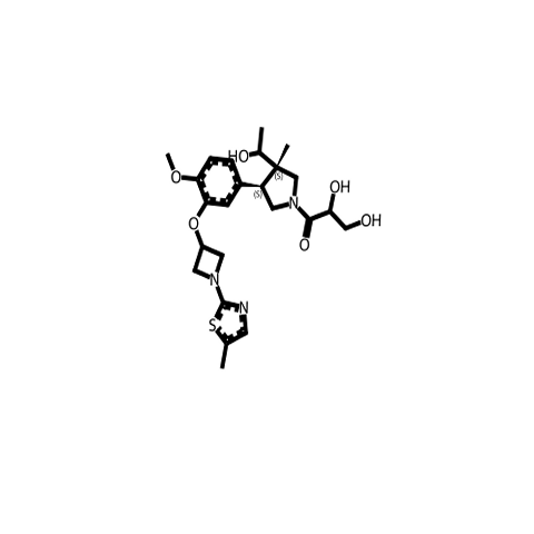 COc1ccc([C@@H]2CN(C(=O)C(O)CO)C[C@@]2(C)C(C)O)cc1OC1CN(c2ncc(C)s2)C1